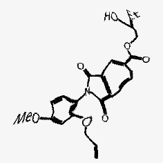 C=CCOc1cc(OC)ccc1N1C(=O)c2ccc(C(=O)OCC(O)CC)cc2C1=O